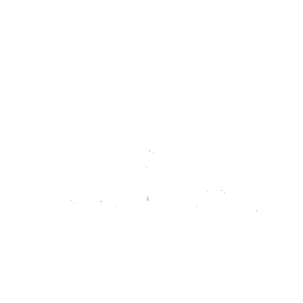 CCN(CC)Cc1cccc(C(=O)Nc2sc(CN3CCCCC3)c(C)c2C(=O)N/N=C/c2ccc(OC)cc2)c1